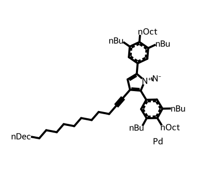 CCCCCCCCCCCCCCCCCCCC#CC1=C(c2cc(CCCC)c(CCCCCCCC)c(CCCC)c2)[N+](=[N-])C(c2cc(CCCC)c(CCCCCCCC)c(CCCC)c2)=C1.[Pd]